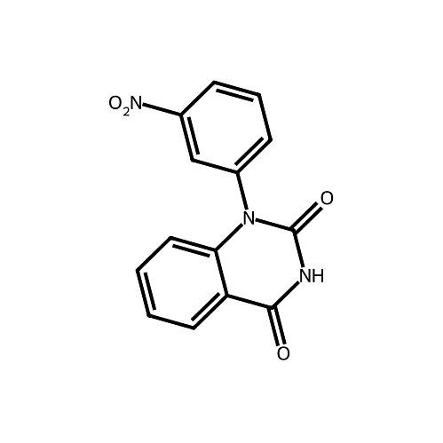 O=c1[nH]c(=O)n(-c2cccc([N+](=O)[O-])c2)c2ccccc12